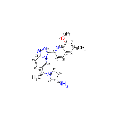 Cc1cc(OC(C)C)c2nc(-c3nnc4ccc([C@H](C)N5CC[C@H](N)C5)cn34)ccc2c1